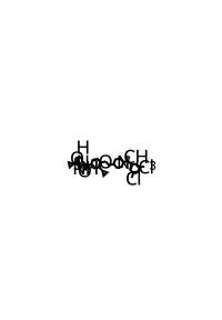 C[C@@H](c1cc(Cl)cc(Cl)c1)N1CCC(COc2ccc(C(=O)NS(=N)(=O)C3CC3)cc2C2CC2)CC1